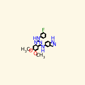 COc1cc2nc(Nc3cccc(F)c3)nc(Nc3ccc4[nH]ncc4c3)c2cc1OC